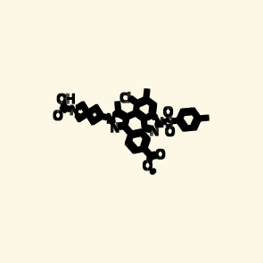 COC(=O)c1ccc(-c2nn(C3CC4(C3)CN(C(=O)O)C4)c(C)c2-c2c(Cl)c(C)cc3c2cnn3S(=O)(=O)c2ccc(C)cc2)cc1